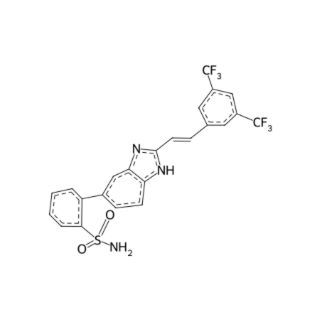 NS(=O)(=O)c1ccccc1-c1ccc2[nH]c(C=Cc3cc(C(F)(F)F)cc(C(F)(F)F)c3)nc2c1